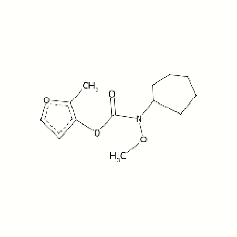 CON(C(=O)Oc1ccoc1C)C1CCCCC1